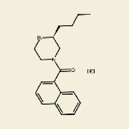 CCCC[C@H]1CN(C(=O)c2cccc3ccccc23)CCN1.Cl